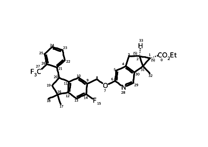 CCOC(=O)[C@H]1[C@@H]2Cc3cc(OCc4cc5c(cc4F)C(C)(C)CC5c4ccccc4C(F)(F)F)ncc3C21C